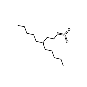 CCCCCN(CCCCC)CCN=S(=O)=O